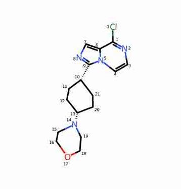 Clc1nccn2c1cnc2[C@H]1CC[C@@H](N2CCOCC2)CC1